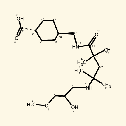 COCC(O)CNC(C)(C)CC(C)(C)C(=O)NC[C@H]1CC[C@H](C(=O)O)CC1